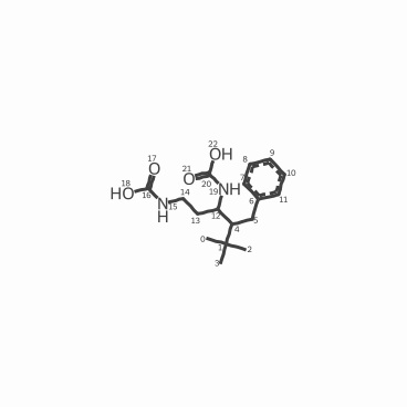 CC(C)(C)C(Cc1ccccc1)C(CCNC(=O)O)NC(=O)O